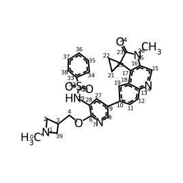 CN1CC(COc2ncc(-c3ccc4ncc5c(c4c3)C3(CC3)C(=O)N5C)cc2NS(=O)(=O)c2ccccc2)C1